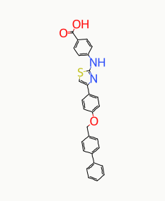 O=C(O)c1ccc(Nc2nc(-c3ccc(OCc4ccc(-c5ccccc5)cc4)cc3)cs2)cc1